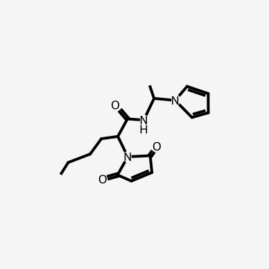 CCCCC(C(=O)NC(C)n1cccc1)N1C(=O)C=CC1=O